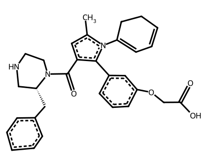 Cc1cc(C(=O)N2CCNC[C@H]2Cc2ccccc2)c(-c2cccc(OCC(=O)O)c2)n1C1=CC=CCC1